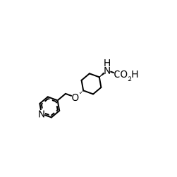 O=C(O)N[C@H]1CC[C@H](OCc2ccncc2)CC1